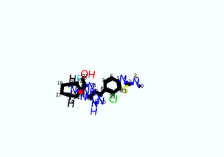 CN(C)c1nc2ccc(-c3n[nH]c4nc(N5[C@H]6CC[C@@H]5[C@@H](F)[C@@H](N)C6)c(CO)nc34)c(Cl)c2s1